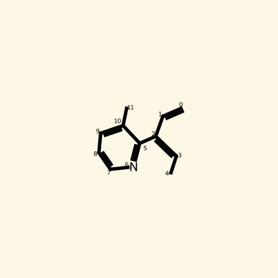 C=C/C(=C/C)c1ncccc1C